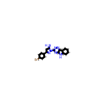 Nc1cc(-c2ccc(Br)cc2)nn1-c1nnc2c(n1)[nH]c1ccccc12